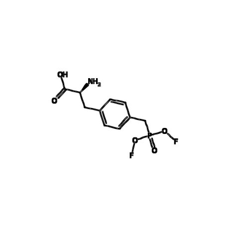 N[C@@H](Cc1ccc(CP(=O)(OF)OF)cc1)C(=O)O